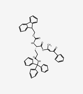 C/C(=C\C(=O)c1ccccc1)OC(=O)[C@H](CCC(=O)NC(c1ccccc1)(c1ccccc1)c1ccccc1)NC(=O)OCC1c2ccccc2-c2ccccc21